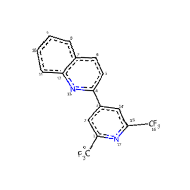 FC(F)(F)c1cc(-c2ccc3ccccc3n2)cc(C(F)(F)F)n1